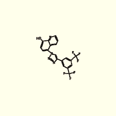 Oc1ccc(-n2cc(-c3cc(C(F)(F)F)cc(C(F)(F)F)c3)nn2)c2cccnc12